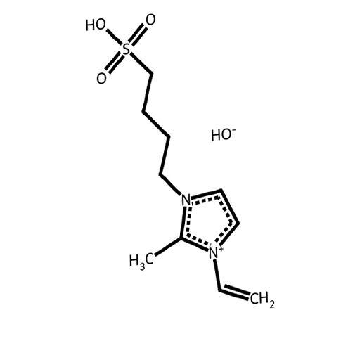 C=C[n+]1ccn(CCCCS(=O)(=O)O)c1C.[OH-]